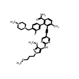 COCCCn1cc(Nc2ncc(C#Cc3c(C)ccc(C(N)=O)c3-c3ccc(CN4CCN(C)CC4)c(F)c3)cn2)c(OC)n1